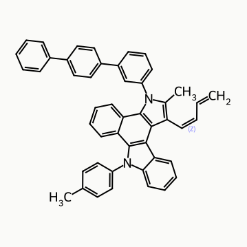 C=C/C=C\c1c(C)n(-c2cccc(-c3ccc(-c4ccccc4)cc3)c2)c2c3ccccc3c3c(c4ccccc4n3-c3ccc(C)cc3)c12